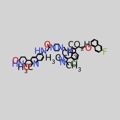 Cc1nc2ccc(NCC(=O)N3CCN(CCn4c(C(=O)O)c(CCCOc5cccc6cc(F)ccc56)c5ccc(Cl)c(-c6c(C)nn(C)c6C)c54)CC3)cc2cc1C1CCC(=O)NC1=O